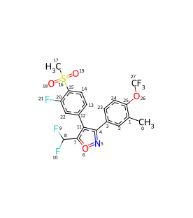 Cc1cc(-c2noc(C(F)F)c2-c2ccc(S(C)(=O)=O)c(F)c2)ccc1OC(F)(F)F